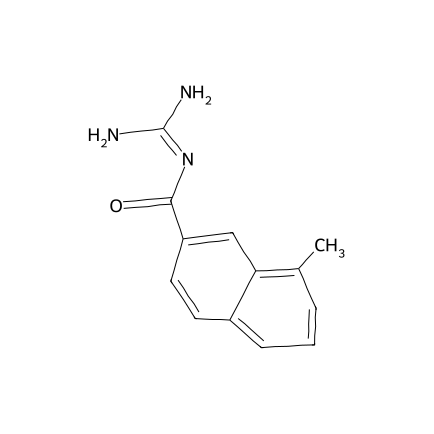 Cc1cccc2ccc(C(=O)N=C(N)N)cc12